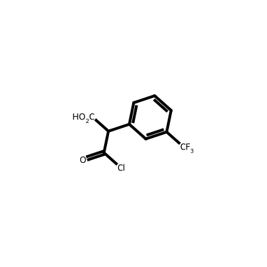 O=C(O)C(C(=O)Cl)c1cccc(C(F)(F)F)c1